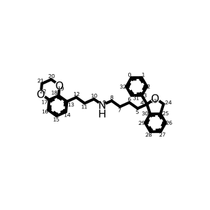 c1ccc(C2(CCCCNCCCc3cccc4c3OCCO4)OCc3ccccc32)cc1